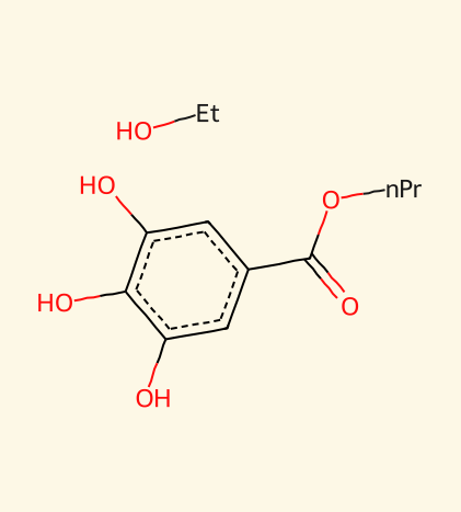 CCCOC(=O)c1cc(O)c(O)c(O)c1.CCO